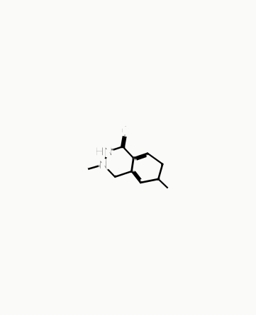 CC1C=C2CN(C)NC(=O)C2=CC1